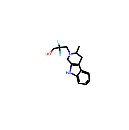 CC1Cc2c([nH]c3ccccc23)CN1CC(F)(F)CO